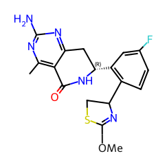 COC1=NC(c2ccc(F)cc2[C@H]2Cc3nc(N)nc(C)c3C(=O)N2)CS1